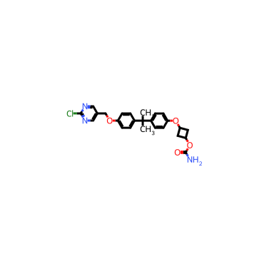 CC(C)(c1ccc(OCc2cnc(Cl)nc2)cc1)c1ccc(OC2CC(OC(N)=O)C2)cc1